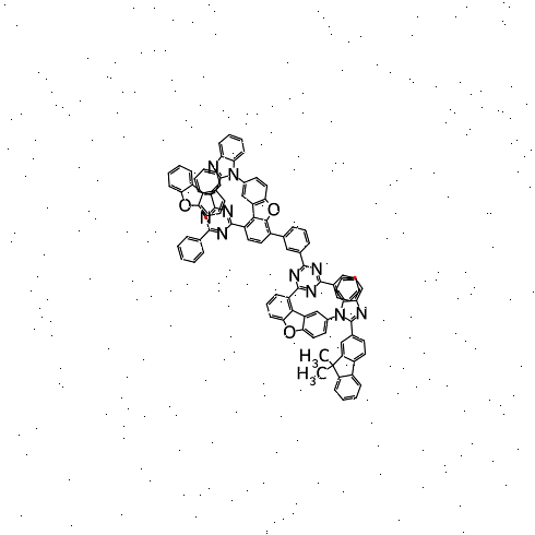 CC1(C)c2ccccc2-c2ccc(-c3nc4ccccc4n3-c3ccc4oc5cccc(-c6nc(-c7ccccc7)nc(-c7cccc(-c8ccc(-c9nc(-c%10ccccc%10)nc(-c%10ccccc%10)n9)c9c8oc8ccc(-n%10c(-c%11cccc%12oc%13ccccc%13c%11%12)nc%11ccccc%11%10)cc89)c7)n6)c5c4c3)cc21